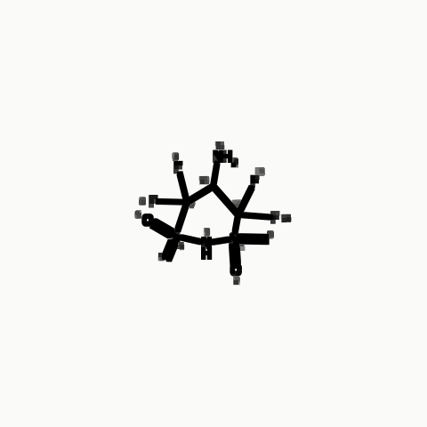 C=S1(=O)NS(=C)(=O)C(F)(F)C(N)C1(F)F